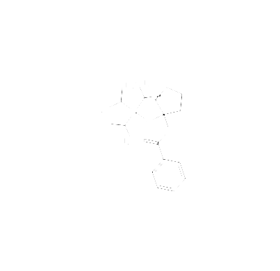 CC(C)[Si](OC1(OC(=O)c2ccccc2)CCCC1)(C(C)C)C(C)C